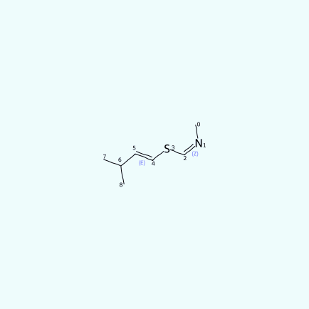 C/N=C\S/C=C/C(C)C